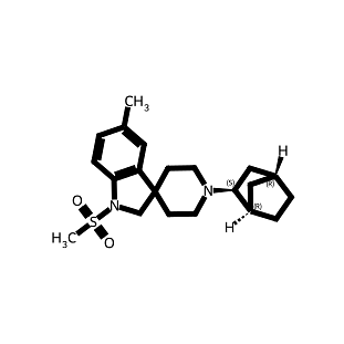 Cc1ccc2c(c1)C1(CCN([C@H]3C[C@@H]4CC[C@@H]3C4)CC1)CN2S(C)(=O)=O